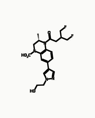 C[C@H]1CN(C(=O)O)c2cc(-c3cnn(CCO)c3)ccc2N1C(=O)CC(CF)CF